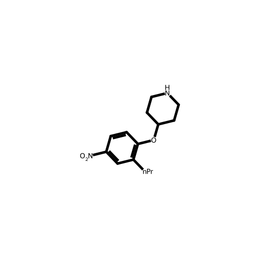 CCCc1cc([N+](=O)[O-])ccc1OC1CCNCC1